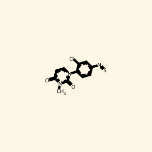 Cn1c(=O)ccn(-c2ccc(N=S)cc2Cl)c1=O